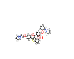 O=C(c1ccc(O[C@H]2CCCC[C@@H]2N2CCCCC2)cc1)c1c(-c2ccc(OCCN3CCCC3)cc2)sc2cccc(O)c12